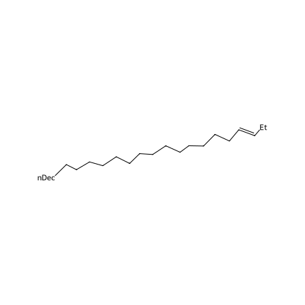 CCC=CCCCCCCCCCCCCCCCCCCCCCCCC